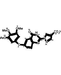 COc1cc(Oc2ccc3nc(-n4cc(C(=O)O)cn4)[nH]c(=O)c3c2)cc(OC)c1OC